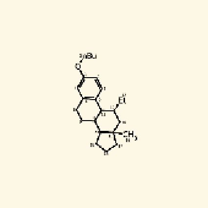 CCCCOc1ccc2c(c1)CCC1C2[C@@H](CC)C[C@]2(C)CCCC12